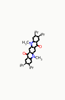 CC(C)c1cc2c(=O)c3cc4c(cc3n(C)c2cc1C(C)C)c(=O)c1cc(C(C)C)c(C(C)C)cc1n4C